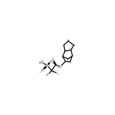 O=C(OC1CC2CC1C1CCCC21)C(F)(F)S(=O)(=O)O